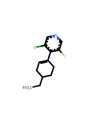 CCOC(=O)CC1CC=C(c2c(F)cncc2Cl)CC1